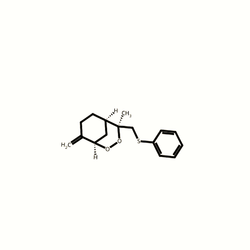 C=C1CC[C@@H]2C[C@H]1OO[C@]2(C)CSc1ccccc1